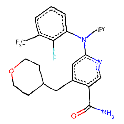 CC(C)N(c1cc(CC2CCOCC2)c(C(N)=O)cn1)c1cccc(C(F)(F)F)c1F